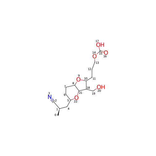 C[C@@H](C#N)CC1CCC2OC(CCCOC(=O)O)C(CO)C2O1